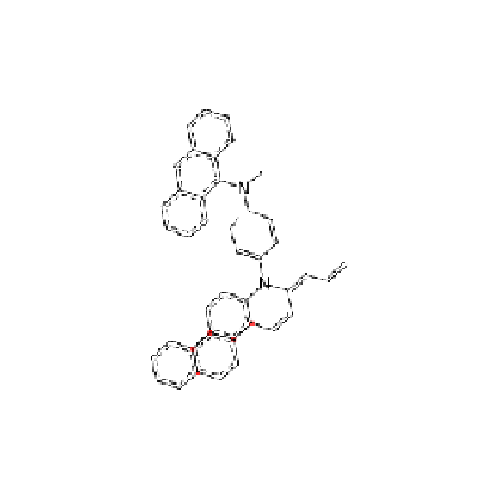 C=C/C=C(\C=C/Cc1ccccc1)N(C(/C=C\CN(C)c1c2ccccc2cc2ccccc12)=C/CC)c1ccc(-c2ccccc2)cc1